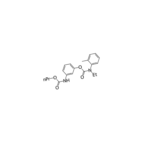 CCCOC(=O)Nc1cccc(OC(=O)N(CC)c2ccccc2C)c1